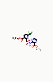 CCOC(=O)c1ccc(C(F)(F)F)nc1CS(=O)(=O)Nc1nccnc1C(=O)OC